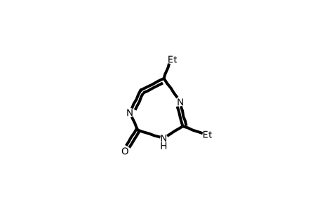 CCC1=C=NC(=O)NC(CC)=N1